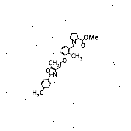 COC(=O)C1CCCN1Cc1cccc(OCCc2nc(-c3ccc(C)cc3)oc2C)c1C